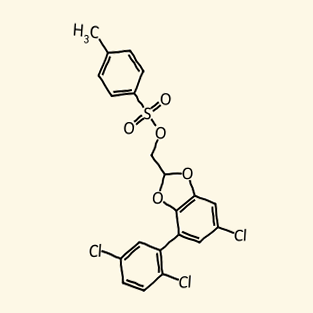 Cc1ccc(S(=O)(=O)OCC2Oc3cc(Cl)cc(-c4cc(Cl)ccc4Cl)c3O2)cc1